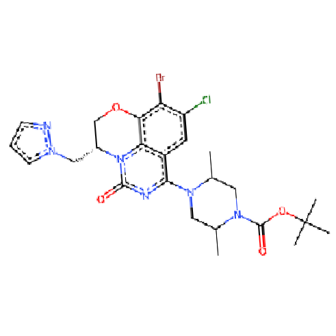 CC1CN(c2nc(=O)n3c4c(c(Br)c(Cl)cc24)OC[C@H]3Cn2cccn2)C(C)CN1C(=O)OC(C)(C)C